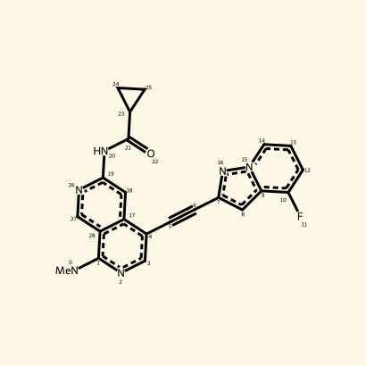 CNc1ncc(C#Cc2cc3c(F)cccn3n2)c2cc(NC(=O)C3CC3)ncc12